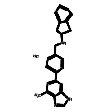 Cc1cc(-c2ccc(CNC3Cc4ccccc4C3)cc2)cc2[nH]cnc12.Cl